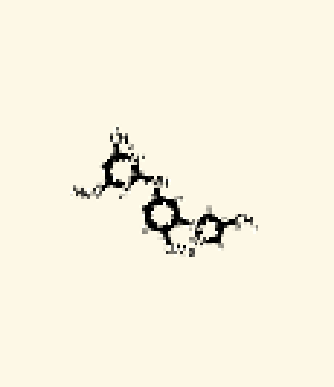 CNc1cc(C)nc(Nc2ccc(OC)c(-n3cc(C)cn3)c2)n1